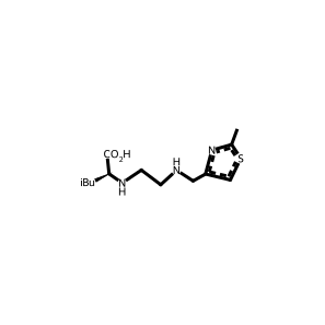 CCC(C)[C@H](NCCNCc1csc(C)n1)C(=O)O